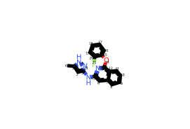 Cc1cc(Nc2cc3ccccc3c(Oc3ccccc3F)n2)n[nH]1